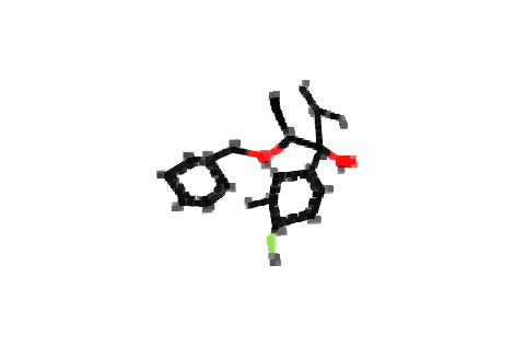 Cc1cc(C(O)(C(C)C)[C@H](C)OCc2ccccc2)ccc1F